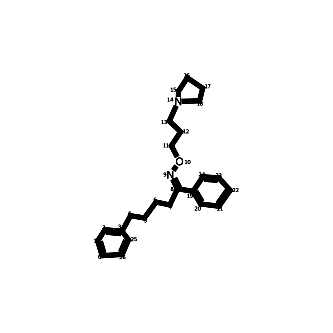 c1ccc(CCCCC(=NOCCCN2CCCC2)c2ccccc2)cc1